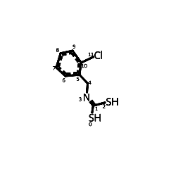 SC(S)=NCc1ccccc1Cl